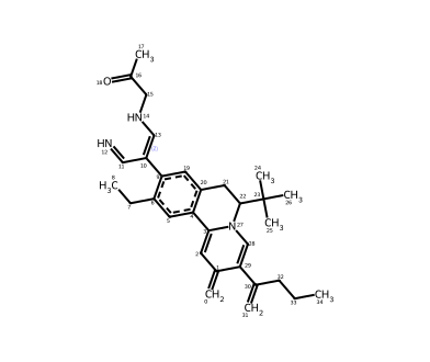 C=C1C=C2c3cc(CC)c(/C(C=N)=C/NCC(C)=O)cc3CC(C(C)(C)C)N2C=C1C(=C)CCC